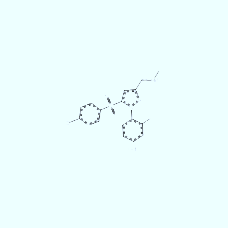 CNCc1cc(S(=O)(=O)c2ccc(Cl)nc2)n(-c2ccccc2F)n1.Cl